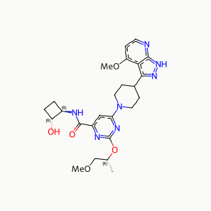 COC[C@@H](C)Oc1nc(C(=O)N[C@@H]2CC[C@H]2O)cc(N2CCC(c3n[nH]c4nccc(OC)c34)CC2)n1